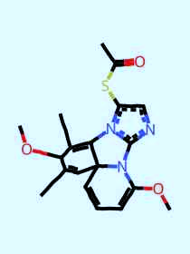 COC1=CC=CC23C=C(C)C(OC)C(C)=C2n2c(SC(C)=O)cnc2N13